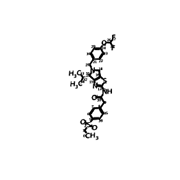 CCS(=O)(=O)c1ccc(CC(=O)Nc2nc3c(s2)CN(Cc2ccc(OC(F)F)cc2)[C@H]3C(C)C)cc1